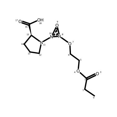 CCC(=O)OCCOn1on1N1CCC[C@H]1C(=O)O